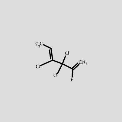 C=C(F)C(Cl)(Cl)C(Cl)=CC(F)(F)F